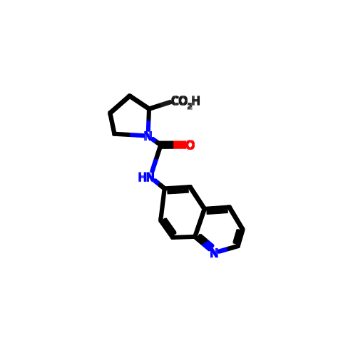 O=C(O)C1CCCN1C(=O)Nc1ccc2ncccc2c1